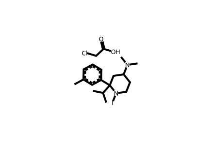 Cc1cccc(C2(C(C)C)CC(N(C)C)CCN2I)c1.O=C(O)CCl